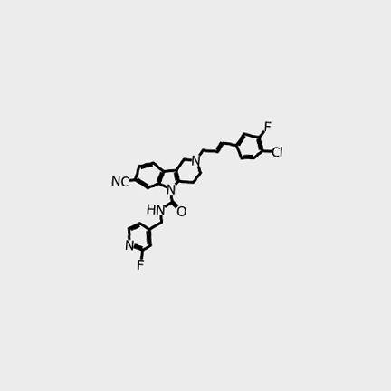 N#Cc1ccc2c3c(n(C(=O)NCc4ccnc(F)c4)c2c1)CCN(C/C=C/c1ccc(Cl)c(F)c1)C3